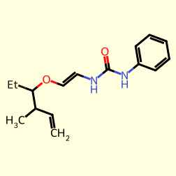 C=CC(C)C(CC)O/C=C/NC(=O)Nc1ccccc1